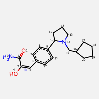 NC(=O)/C(O)=C\c1ccc(C2CCCN2CC2CCCC2)cc1